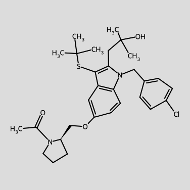 CC(=O)N1CCC[C@@H]1COc1ccc2c(c1)c(SC(C)(C)C)c(CC(C)(C)O)n2Cc1ccc(Cl)cc1